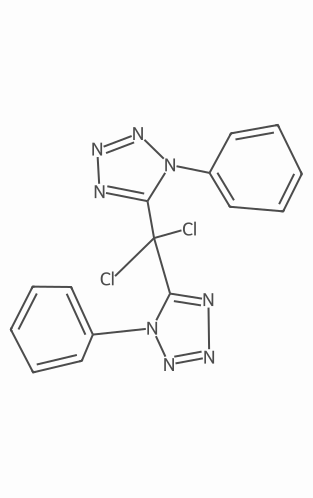 ClC(Cl)(c1nnnn1-c1ccccc1)c1nnnn1-c1ccccc1